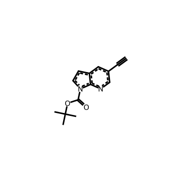 C#Cc1cnc2c(ccn2C(=O)OC(C)(C)C)c1